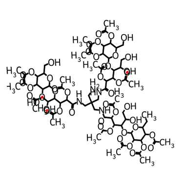 CCC1OC(OC(C(O)CO)C(OC(C)=O)C(OC(C)=O)C(=O)NCC(CN)(CNC(=O)C(OC(C)=O)C(OC(C)=O)C(OC2OC(CO)C(OC(C)=O)C(OC(C)=O)C2OC(C)=O)C(O)CO)CNC(=O)C(OC(C)=O)C(OC(C)=O)C(OC2OC(CO)C(OC(C)=O)C(OC(C)=O)C2OC(C)=O)C(O)CO)C(OC(C)=O)C(OC(C)=O)C1OC(C)=O